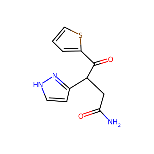 NC(=O)CC(C(=O)c1cccs1)c1cc[nH]n1